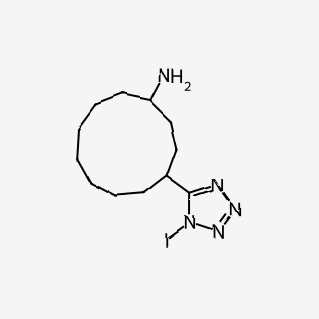 NC1CCCCCCCC(c2nnnn2I)CC1